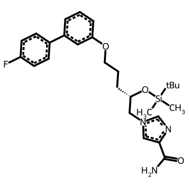 CC(C)(C)[Si](C)(C)O[C@@H](CCCOc1cccc(-c2ccc(F)cc2)c1)Cn1cnc(C(N)=O)c1